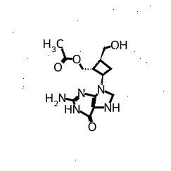 CC(=O)OC[C@@H]1[C@@H](CO)C[C@H]1N1CNc2c1nc(N)[nH]c2=O